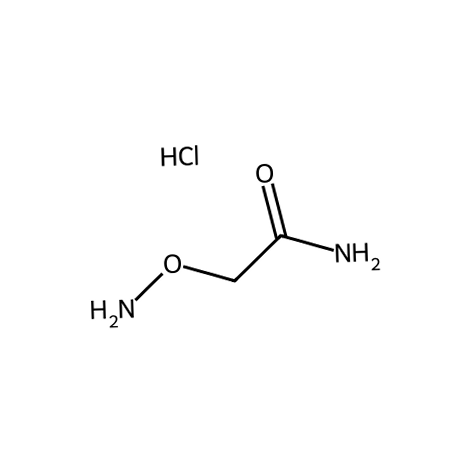 Cl.NOCC(N)=O